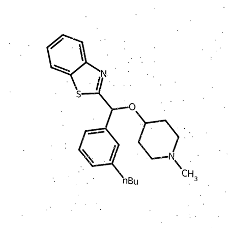 CCCCc1cccc(C(OC2CCN(C)CC2)c2nc3ccccc3s2)c1